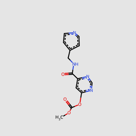 COC(=O)Oc1cc(C(=O)NCc2ccncc2)ncn1